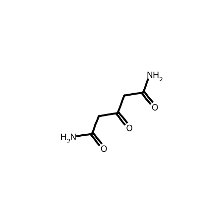 NC(=O)CC(=O)CC(N)=O